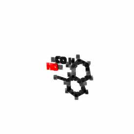 Cc1cccc2ccccc12.O=C(O)O